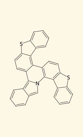 c1ccc2c(c1)cn1c2c2ccc3sc4ccccc4c3c2c2ccc3sc4ccccc4c3c21